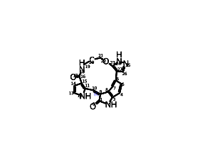 O=C1Nc2ccc3cc2/C1=C/c1[nH]ccc1C(=O)NCCCOc1[nH]ncc1-3